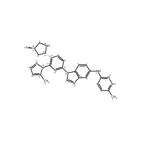 Cc1ccc(Nc2ccc3c(c2)ncn3-c2ccc([C@@H]3C[C@@H](F)CN3)c(-n3nccc3C)n2)nn1